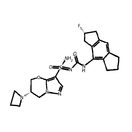 N[S@@](=O)(=NC(=O)Nc1c2c(cc3c1C[C@H](F)C3)CCC2)c1cnn2c1OC[C@@H](N1CCC1)C2